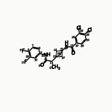 CC(C(=O)Nc1ccc(F)c(F)c1)C12CC(NC(=O)c3ccc(Cl)c(Cl)c3)(C1)C2